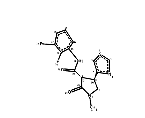 CN1C[C@H](c2cscn2)[C@@H](C(=O)Nc2cccc(F)c2F)C1=O